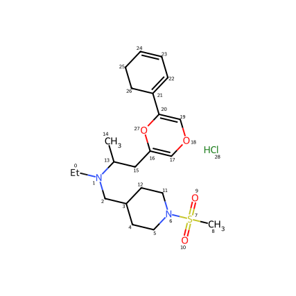 CCN(CC1CCN(S(C)(=O)=O)CC1)C(C)CC1=COC=C(C2=CC=CCC2)O1.Cl